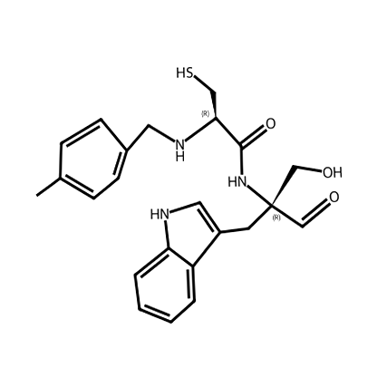 Cc1ccc(CN[C@@H](CS)C(=O)N[C@@](C=O)(CO)Cc2c[nH]c3ccccc23)cc1